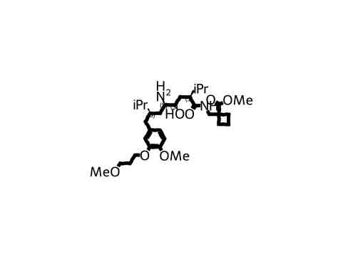 COCCCOc1cc(C[C@@H](C[C@H](N)[C@@H](O)C[C@H](C(=O)NCC2(C(=O)OC)CCC2)C(C)C)C(C)C)ccc1OC